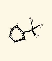 CCCCC(CC)(CCCC)c1ccccc1